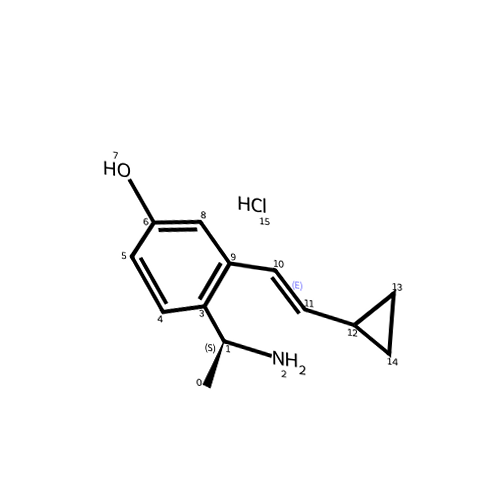 C[C@H](N)c1ccc(O)cc1/C=C/C1CC1.Cl